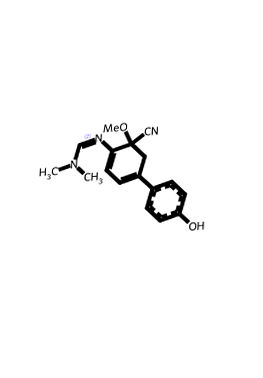 COC1(C#N)CC(c2ccc(O)cc2)=CC=C1/N=C\N(C)C